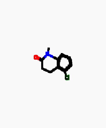 CN1C(=O)CCc2c(Cl)cccc21